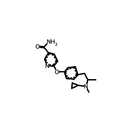 CC(Cc1ccc(Oc2ccc(C(N)=O)cn2)cc1)N(C)C1CC1